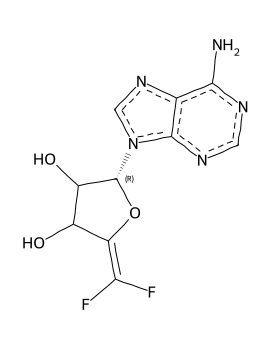 Nc1ncnc2c1ncn2[C@@H]1OC(=C(F)F)C(O)C1O